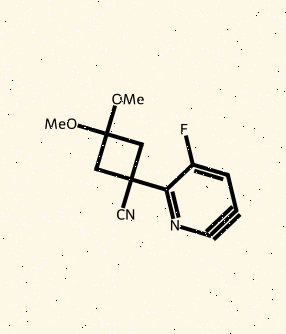 COC1(OC)CC(C#N)(c2nc#ccc2F)C1